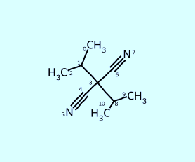 CC(C)C(C#N)(C#N)C(C)C